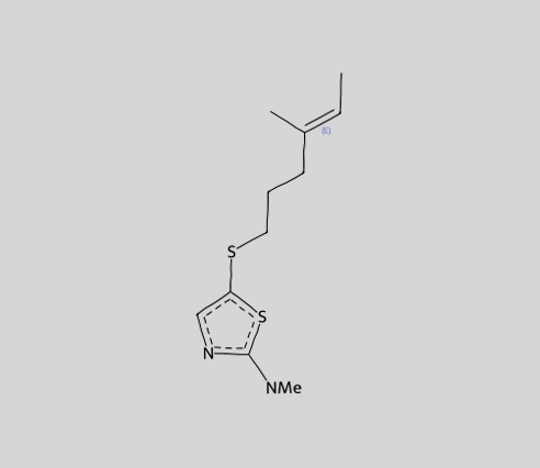 C/C=C(\C)CCCSc1cnc(NC)s1